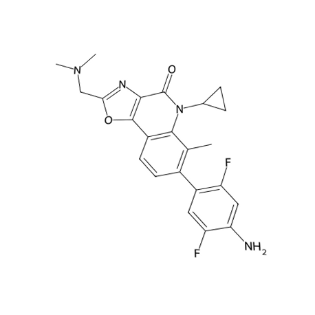 Cc1c(-c2cc(F)c(N)cc2F)ccc2c3oc(CN(C)C)nc3c(=O)n(C3CC3)c12